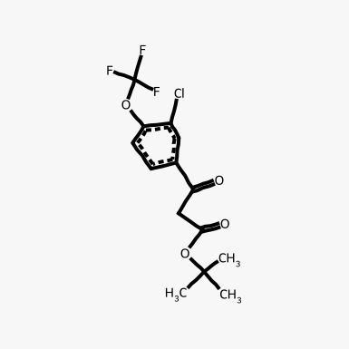 CC(C)(C)OC(=O)CC(=O)c1ccc(OC(F)(F)F)c(Cl)c1